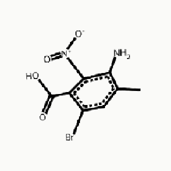 Cc1cc(Br)c(C(=O)O)c([N+](=O)[O-])c1N